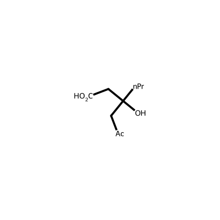 CCCC(O)(CC(C)=O)CC(=O)O